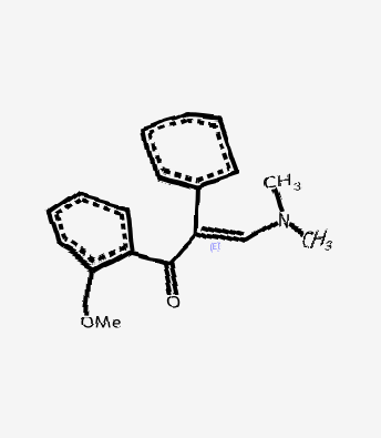 COc1ccccc1C(=O)/C(=C/N(C)C)c1ccccc1